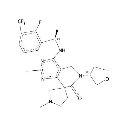 Cc1nc(N[C@H](C)c2cccc(C(F)(F)F)c2F)c2c(n1)C1(CCN(C)C1)C(=O)N([C@@H]1CCOC1)C2